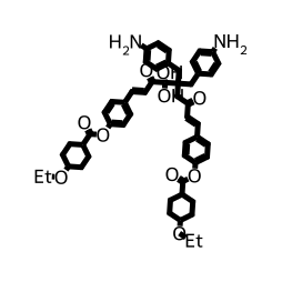 CCOC1CCC(C(=O)Oc2ccc(C=CC(=O)CC(Cc3ccc(N)cc3)(Cc3ccc(N)cc3)C(O)(O)C(=O)C=Cc3ccc(OC(=O)C4CCC(OCC)CC4)cc3)cc2)CC1